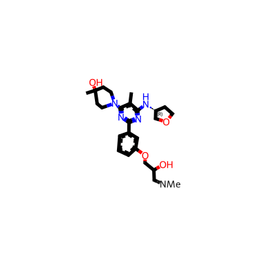 CNCC(O)COc1cccc(-c2nc(N[C@@H]3CCOC3)c(C)c(N3CCC(C)(O)CC3)n2)c1